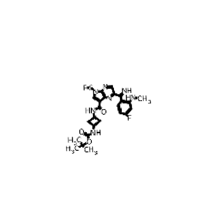 CNc1cc(F)ccc1C(=N)c1cnc2c(n1)c(C(=O)NC1CC(NC(=O)OC(C)(C)C)C1)cn2SF